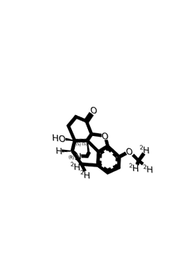 [2H]C([2H])([2H])Oc1ccc2c3c1OC1C(=O)CC[C@@]4(O)[C@H](N(C)CC[C@]314)C2([2H])[2H]